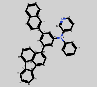 c1ccc(N(c2cccnc2)c2cc(-c3ccc4ccccc4c3)cc(-c3ccc4c5c(cccc35)-c3ccccc3-4)c2)cc1